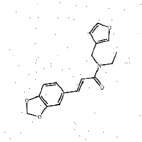 CCN(Cc1ccoc1)C(=O)/C=C/c1ccc2c(c1)OCO2